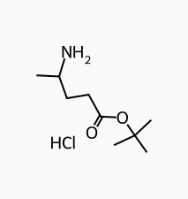 CC(N)CCC(=O)OC(C)(C)C.Cl